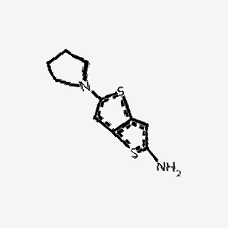 Nc1cc2sc(N3CCCC3)cc2s1